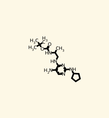 CC(CNc1nc(NC2CCCC2)ncc1N)NC(=O)OC(C)(C)C